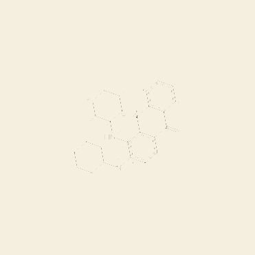 O=C1c2ccccc2C(=O)c2c1ccc(NC1CCCCC1)c2NC1CCCCC1